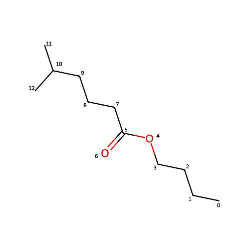 CCCCOC(=O)CCCC(C)C